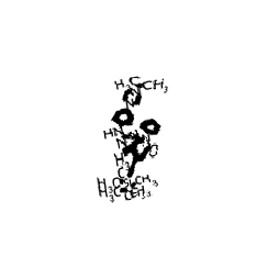 CC(C)N1CCN(c2ccc(Nc3ncc4c(C#C[Si](C(C)C)(C(C)C)C(C)C)cc(=O)n(-c5ccccc5)c4n3)cc2)CC1